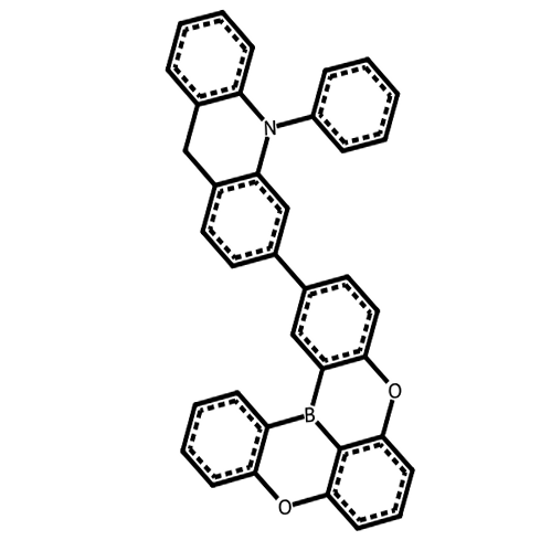 c1ccc(N2c3ccccc3Cc3ccc(-c4ccc5c(c4)B4c6ccccc6Oc6cccc(c64)O5)cc32)cc1